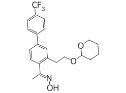 CC(=NO)c1ccc(-c2ccc(C(F)(F)F)cc2)cc1CCOC1CCCCO1